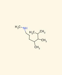 CNCCCC(C)C(C)C(C)C